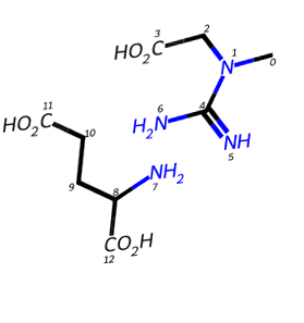 CN(CC(=O)O)C(=N)N.NC(CCC(=O)O)C(=O)O